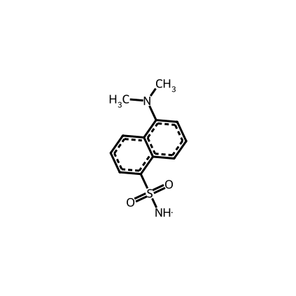 CN(C)c1cccc2c(S([NH])(=O)=O)cccc12